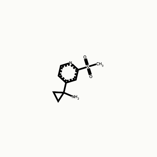 CS(=O)(=O)c1cc(C2(N)CC2)ccn1